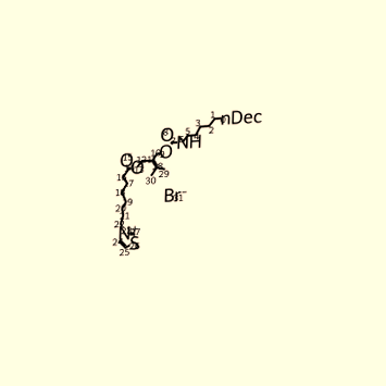 CCCCCCCCCCCCCCCNC(=O)OCC(COC(=O)CCCCCCC[n+]1ccsc1)=C(C)C.[Br-]